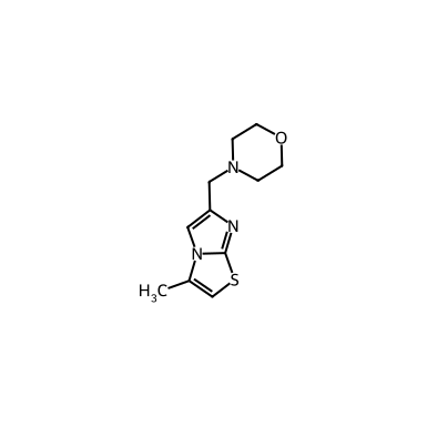 Cc1csc2nc(CN3CCOCC3)cn12